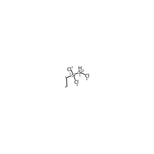 CC[Si](Cl)(Cl)[SiH2]Cl